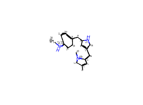 CC1=CC(CC2=CC(CC3=CCC(NC(C)C)CC3)NC2)N(C)C1